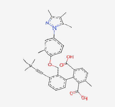 Cc1cc(-n2nc(C)c(C)c2C)ccc1OCc1c(C#C[Si](C)(C)C)cccc1-c1c(C(=O)O)ccc(C)c1C(=O)O